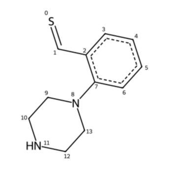 S=Cc1ccccc1N1CCNCC1